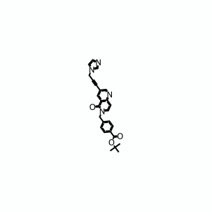 CC(C)(C)OC(=O)c1ccc(Cn2ccc3ncc(C#CCn4ccnc4)cc3c2=O)cc1